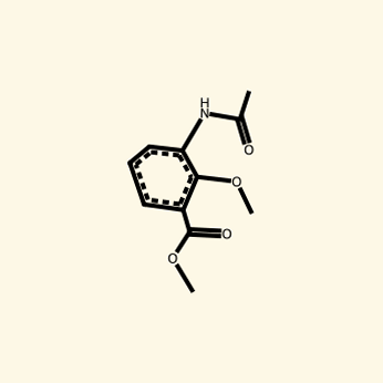 COC(=O)c1cccc(NC(C)=O)c1OC